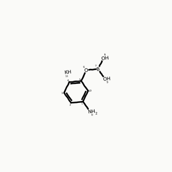 Nc1cccc(OB(O)O)c1.[KH]